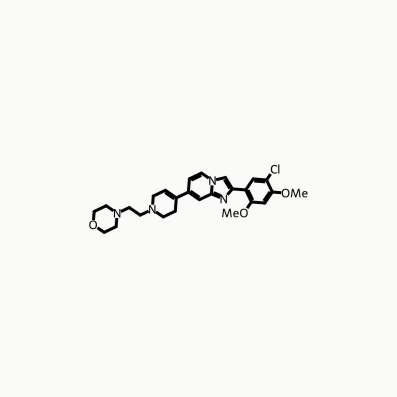 COc1cc(OC)c(-c2cn3ccc(C4=CCN(CCN5CCOCC5)CC4)cc3n2)cc1Cl